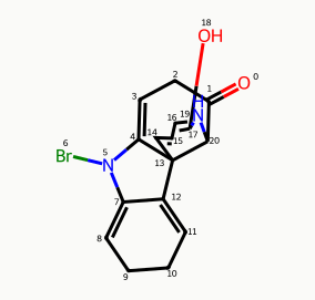 O=C1CC=C2N(Br)C3=CCCC=C3C23C=CC=C(O)NC13